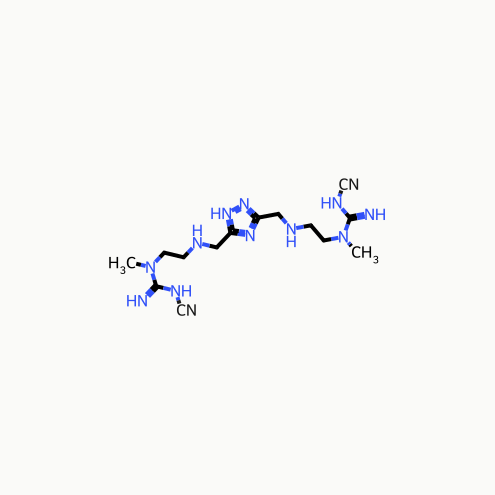 CN(CCNCc1n[nH]c(CNCCN(C)C(=N)NC#N)n1)C(=N)NC#N